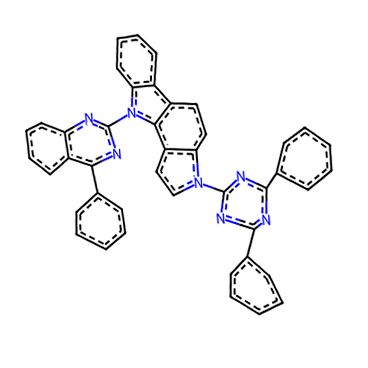 c1ccc(-c2nc(-c3ccccc3)nc(-n3ccc4c3ccc3c5ccccc5n(-c5nc(-c6ccccc6)c6ccccc6n5)c34)n2)cc1